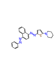 c1ccc(N=Nc2ccc(N=Nc3ccc(N4CCCCC4)s3)c3ccccc23)cc1